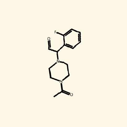 CC(=O)N1CCN(C(C=O)c2ccccc2F)CC1